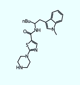 CCCCC(Cc1cn(C)c2ccccc12)NC(=O)c1cnc(N2CCNCC2)s1